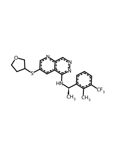 Cc1c([C@@H](C)Nc2nncc3ncc(SC4CCOC4)cc23)cccc1C(F)(F)F